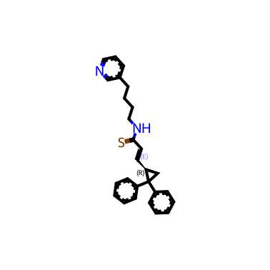 S=C(/C=C/[C@H]1CC1(c1ccccc1)c1ccccc1)NCCCCc1cccnc1